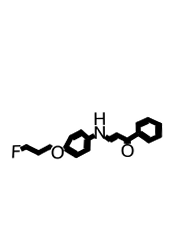 O=C(C=CNc1ccc(OCCCF)cc1)c1ccccc1